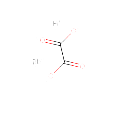 O=C([O-])C(=O)[O-].[H+].[Rb+]